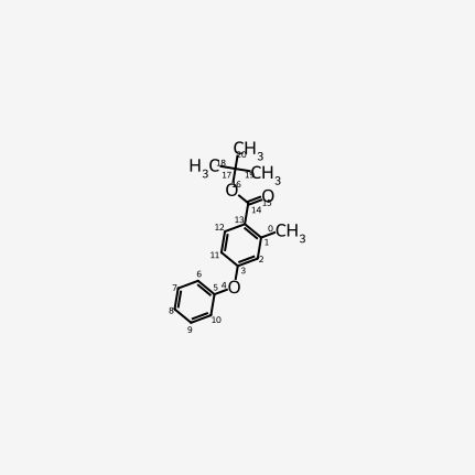 Cc1cc(Oc2ccccc2)ccc1C(=O)OC(C)(C)C